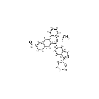 CCC(=C(c1ccc2cc(C=O)ccc2c1)c1ccc2c(cnn2C2CCCCO2)c1)c1ccccc1